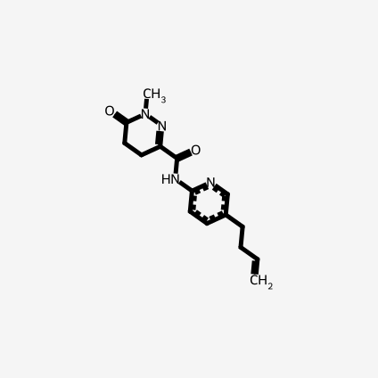 C=CCCc1ccc(NC(=O)C2=NN(C)C(=O)CC2)nc1